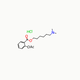 CC(=O)Oc1ccccc1C(=O)OCCCCCCN(C)C.Cl